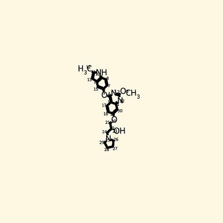 COc1nc(Oc2ccc3[nH]c(C)cc3c2)c2ccc(OC[C@@H](O)CN3CCCC3)cc2n1